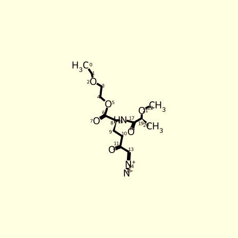 CCOCCOC(=O)[C@H](CCC(=O)C=[N+]=[N-])NC(=O)[C@H](C)OC